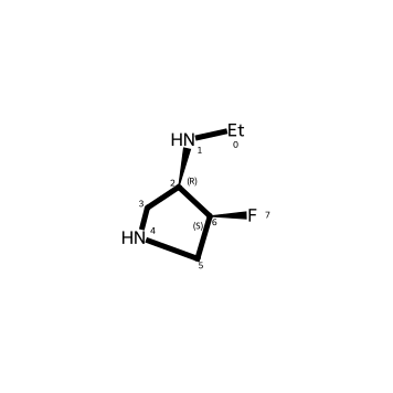 CCN[C@@H]1CNC[C@@H]1F